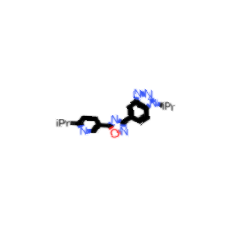 CC(C)c1ccc(-c2nc(-c3ccc4c(c3)nnn4C(C)C)no2)cn1